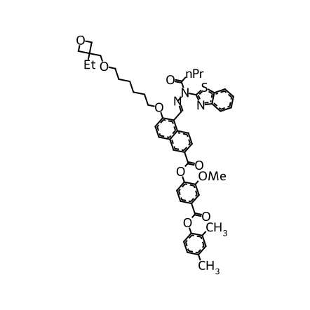 CCCC(=O)N(/N=C/c1c(OCCCCCCOCC2(CC)COC2)ccc2cc(C(=O)Oc3ccc(C(=O)Oc4ccc(C)cc4C)cc3OC)ccc12)c1nc2ccccc2s1